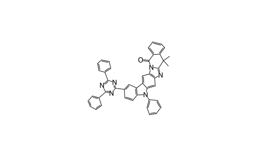 CC1(C)c2ccccc2C(=O)n2c1nc1cc3c(cc12)c1cc(-c2nc(-c4ccccc4)nc(-c4ccccc4)n2)ccc1n3-c1ccccc1